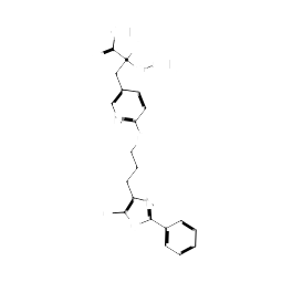 COC(C)(Cc1ccc(OCCCc2nc(-c3ccccc3)oc2C)nc1)C(=O)O